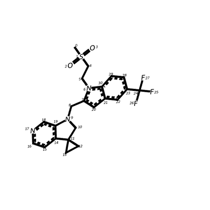 CS(=O)(=O)CCn1c(CN2CC3(CC3)c3ccncc32)cc2cc(C(F)(F)F)ccc21